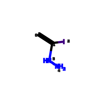 C=C(I)NN